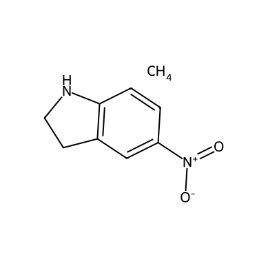 C.O=[N+]([O-])c1ccc2c(c1)CCN2